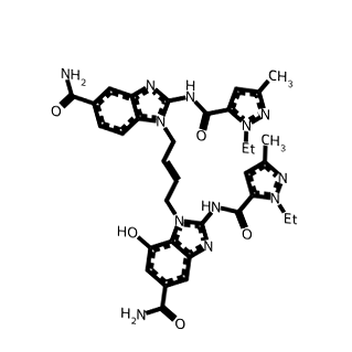 CCn1nc(C)cc1C(=O)Nc1nc2cc(C(N)=O)ccc2n1CC=CCn1c(NC(=O)c2cc(C)nn2CC)nc2cc(C(N)=O)cc(O)c21